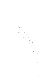 CCCCCCCCCCc1ccc(-c2cc3sc4c(ccc5c6sc(-c7ccc(CCCCCCCCCC)cc7)cc6sc54)c3s2)cc1